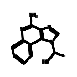 [CH2]C(O)n1cnc2c(N)nc3ccccc3c21